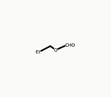 C[CH]CO[C]=O